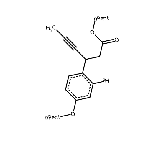 [2H]c1cc(OCCCCC)ccc1C(C#CC)CC(=O)OCCCCC